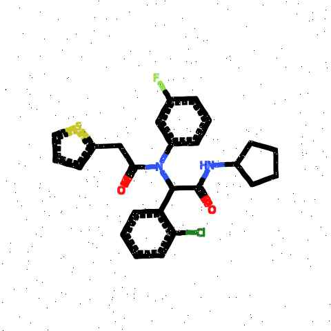 O=C(NC1CCCC1)C(c1ccccc1Cl)N(C(=O)Cc1cccs1)c1cccc(F)c1